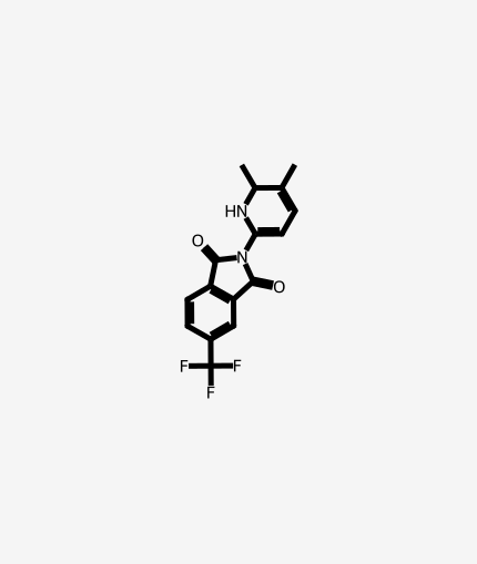 CC1=CC=C(N2C(=O)c3ccc(C(F)(F)F)cc3C2=O)NC1C